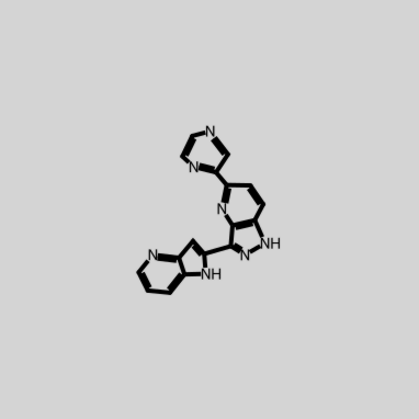 c1cnc2cc(-c3n[nH]c4ccc(-c5cnccn5)nc34)[nH]c2c1